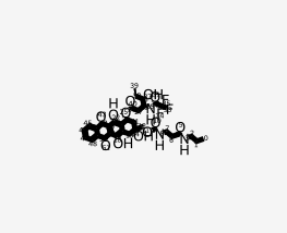 CCCNC(=O)CCNC(=O)OC[C@]1(O)Cc2c(O)c3c(c(O)c2[C@@H](O[C@H]2C[C@H](NC(=O)C(F)(F)F)[C@@H](O)[C@H](C)O2)C1)C(=O)c1ccccc1C3=O